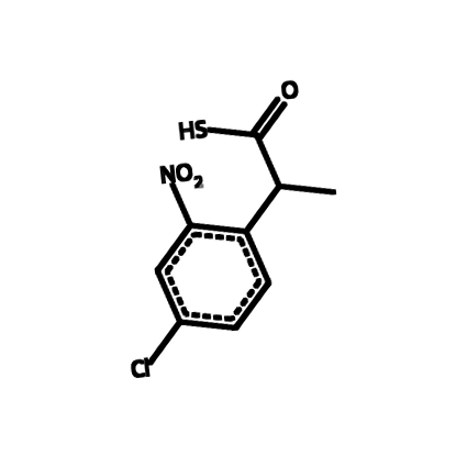 CC(C(=O)S)c1ccc(Cl)cc1[N+](=O)[O-]